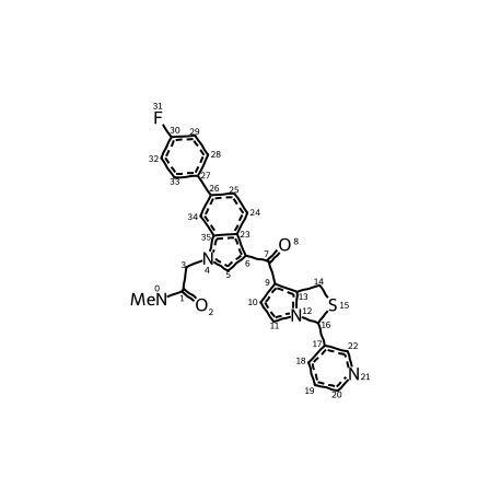 CNC(=O)Cn1cc(C(=O)c2ccn3c2CSC3c2cccnc2)c2ccc(-c3ccc(F)cc3)cc21